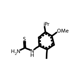 COc1cc(C)c(NC(N)=S)cc1C(C)C